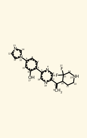 C=C(c1cnc(-c2ccc(-n3ccnc3)cc2O)cn1)C1CCNCC1(F)F